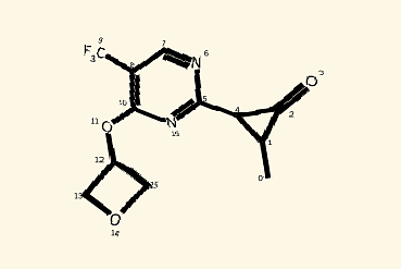 CC1C(=O)C1c1ncc(C(F)(F)F)c(OC2COC2)n1